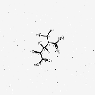 O=C(O)C(=O)C(F)(F)C(C(=O)O)C(F)F